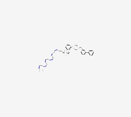 CC/C=C\C/C=C\C/C=C\C/C=C\C/C=C\C/C=C\CCC(=O)n1c(=O)oc2c(N3CCN(Cc4cccc(-c5ccccc5)c4)CC3)cccc21